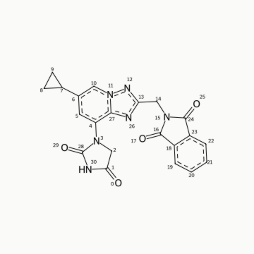 O=C1CN(c2cc(C3CC3)cn3nc(CN4C(=O)c5ccccc5C4=O)nc23)C(=O)N1